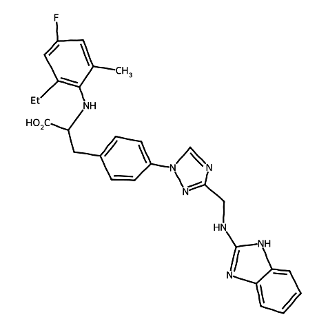 CCc1cc(F)cc(C)c1NC(Cc1ccc(-n2cnc(CNc3nc4ccccc4[nH]3)n2)cc1)C(=O)O